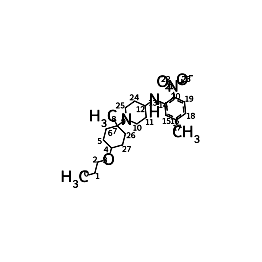 CCCOC1CCC(C)(N2CCC(Nc3cc(C)ccc3[N+](=O)[O-])CC2)CC1